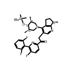 C[C@@H]1CCc2c1ncc(CC(=O)c1ccc(F)c(-c3c(F)cccc3F)n1)c2N1C[C@@H](C)[C@H](O[Si](C)(C)C(C)(C)C)[C@@H](C)C1